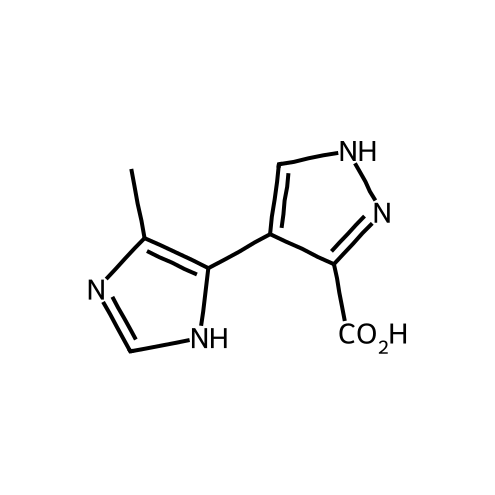 Cc1nc[nH]c1-c1c[nH]nc1C(=O)O